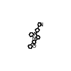 c1cncc(-c2ccc(N3c4ccccc4-n4c5cc6c(cc5c5cccc3c54)oc3ccccc36)cc2)c1